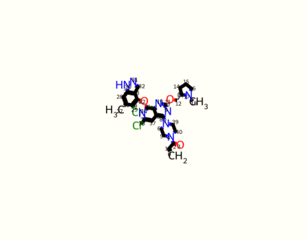 C=CC(=O)N1CCN(c2nc(OC[C@@H]3CCCN3C)nc3c(Oc4c(Cl)c(C)cc5[nH]ncc45)nc(Cl)cc23)CC1